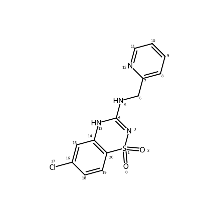 O=S1(=O)N=C(NCc2ccccn2)Nc2cc(Cl)ccc21